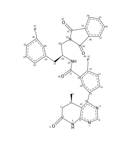 C[C@@H]1CC(=O)Nc2ncnc(-c3ccc(F)c(C(=O)N[C@@H](Cc4cccc(F)c4)CN4C(=O)c5ccccc5C4=O)c3)c21